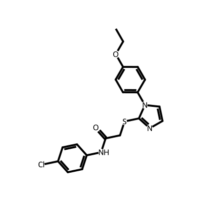 CCOc1ccc(-n2ccnc2SCC(=O)Nc2ccc(Cl)cc2)cc1